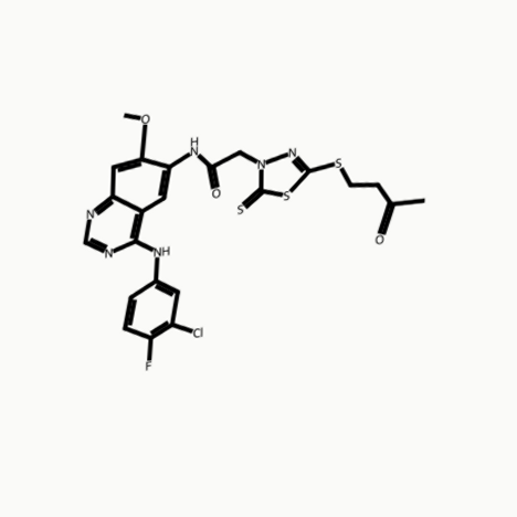 COc1cc2ncnc(Nc3ccc(F)c(Cl)c3)c2cc1NC(=O)Cn1nc(SCCC(C)=O)sc1=S